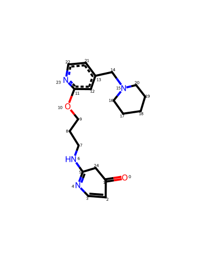 O=C1C=CN=C(NCCCOc2cc(CN3CCCCC3)ccn2)C1